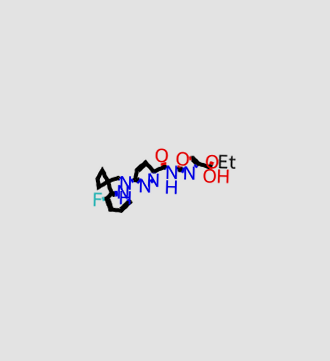 CCOC(O)c1coc(NC(=O)c2ccc(NCC3(c4ncccc4F)CCC3)nn2)n1